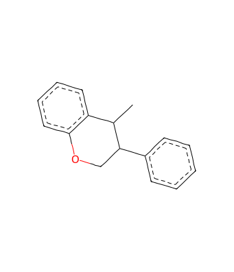 CC1c2ccccc2OCC1c1ccccc1